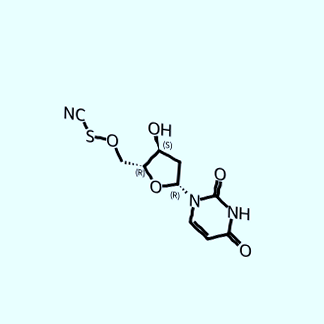 N#CSOC[C@H]1O[C@@H](n2ccc(=O)[nH]c2=O)C[C@@H]1O